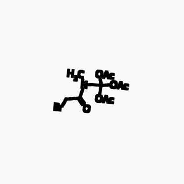 CC(=O)OC(OC(C)=O)(OC(C)=O)N(C)C(=O)CBr